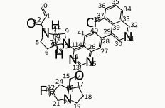 C=CC(=O)N1CC[C@@H]2[C@H]1CN2c1nc(OC[C@@]23CCCN2C[C@H](F)C3)nc2cc(-c3cncc4cccc(Cl)c34)ccc12